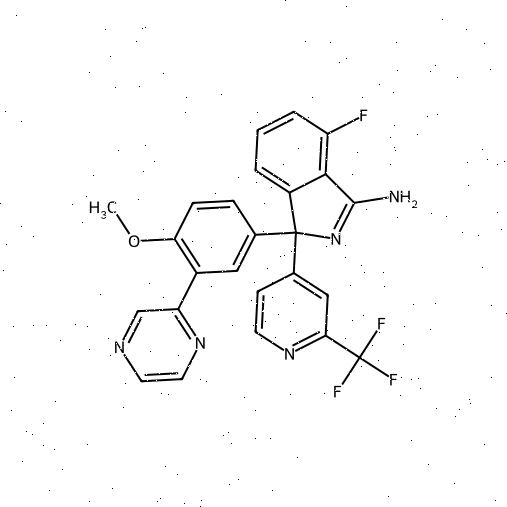 COc1ccc(C2(c3ccnc(C(F)(F)F)c3)N=C(N)c3c(F)cccc32)cc1-c1cnccn1